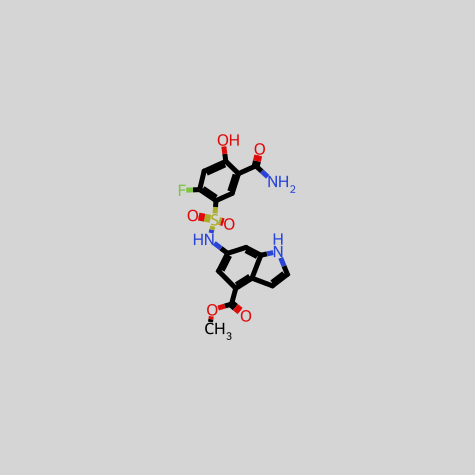 COC(=O)c1cc(NS(=O)(=O)c2cc(C(N)=O)c(O)cc2F)cc2[nH]ccc12